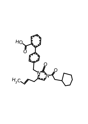 CC=CCc1cn(C(=O)CC2CCCCC2)c(=O)n1Cc1ccc(-c2ccccc2C(=O)O)cc1